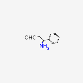 N[C@@H](C[C]=O)c1ccccc1